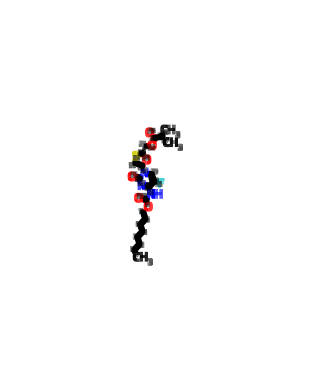 CCCCCCCCOC(=O)Nc1nc(=O)n([C@@H]2CS[C@H](COC(=O)C(C)C)O2)cc1F